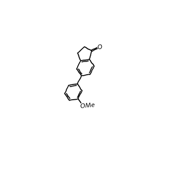 COc1cccc(-c2ccc3c(c2)CCC3=O)c1